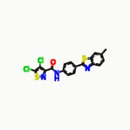 Cc1ccc2nc(-c3ccc(NC(=O)c4nsc(Cl)c4Cl)cc3)sc2c1